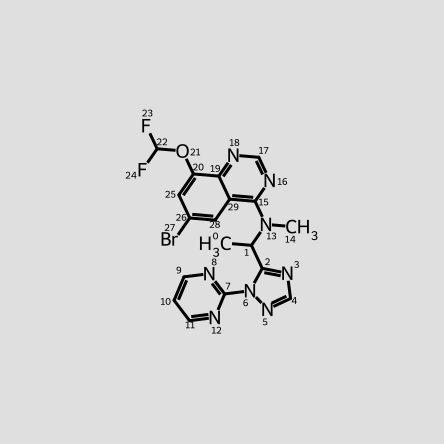 CC(c1ncnn1-c1ncccn1)N(C)c1ncnc2c(OC(F)F)cc(Br)cc12